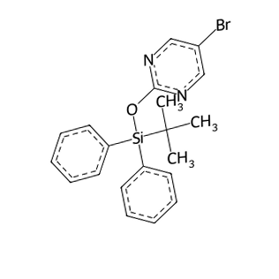 CC(C)(C)[Si](Oc1ncc(Br)cn1)(c1ccccc1)c1ccccc1